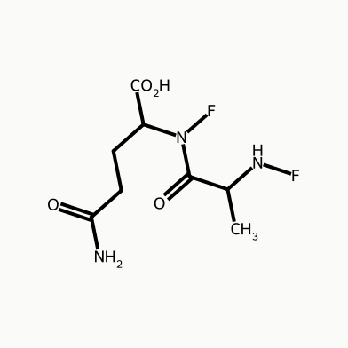 CC(NF)C(=O)N(F)C(CCC(N)=O)C(=O)O